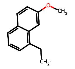 [CH2]Cc1cccc2ccc(OC)cc12